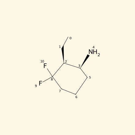 CC[C@H]1[C@@H](N)CCCC1(F)F